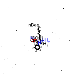 CCCCCCCCCCCCCCCCC(N)[N+](C)(C)c1ccccc1.CN.O=S(=O)([O-])O